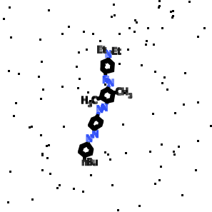 CCCCc1ccc(N=Nc2ccc(N=Nc3cc(C)c(N=Nc4ccc(N(CC)CC)cc4)cc3C)cc2)cc1